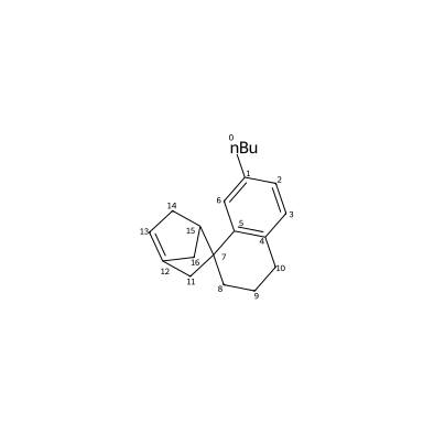 CCCCc1ccc2c(c1)C1(CCC2)CC2=CCC1C2